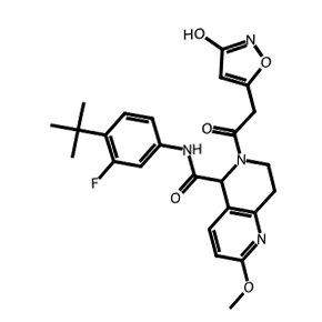 COc1ccc2c(n1)CCN(C(=O)Cc1cc(O)no1)C2C(=O)Nc1ccc(C(C)(C)C)c(F)c1